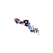 C=C(/C=C\N=C\Nc1ccc2c(n1)=CCCC=2OCCN1CCOCC1)C(F)(F)F